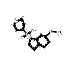 CSc1ccc2ccn(S(=O)(=O)c3ccccc3)c2c1